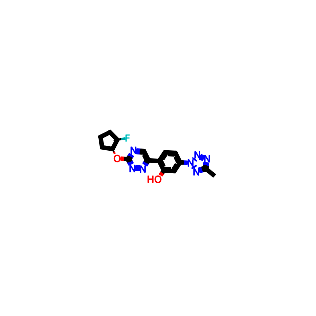 Cc1nnn(-c2ccc(-c3cnc(O[C@@H]4CCC[C@H]4F)nn3)c(O)c2)n1